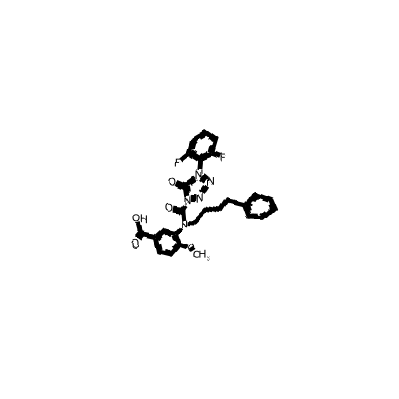 COc1ccc(C(=O)O)cc1N(CCCCc1ccccc1)C(=O)n1nnn(-c2c(F)cccc2F)c1=O